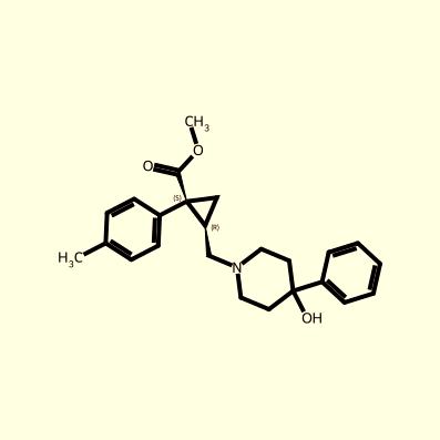 COC(=O)[C@@]1(c2ccc(C)cc2)C[C@H]1CN1CCC(O)(c2ccccc2)CC1